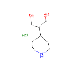 Cl.OCC(CO)C1CCNCC1